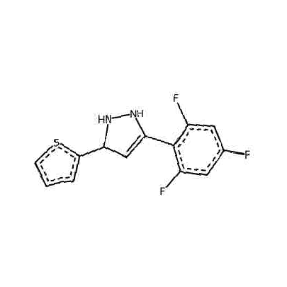 Fc1cc(F)c(C2=CC(c3cccs3)NN2)c(F)c1